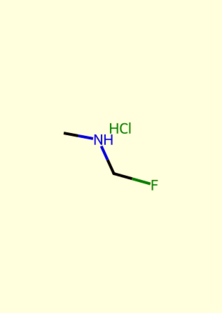 CNCF.Cl